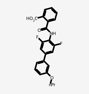 CCCOc1cccc(-c2cc(F)c(NC(=O)c3ccccc3C(=O)O)c(F)c2)c1